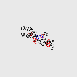 CCOc1cc(B2OC(C)(C)C(C)(C)O2)ccc1C(=O)N[C@@H](CC(=O)OC)C(=O)OC